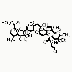 CC[C@@H](C(=O)[C@@H](C)[C@@H](O)[C@H](C)[C@@H]1O[C@@H]([C@@H](CC)C(=O)O)CC[C@@H]1C)[C@H]1O[C@]2(C=CC(NC(=O)OCCCl)[C@]3(CC[C@@](C)([C@H]4CC[C@](O)(CC)[C@H](C)O4)O3)O2)[C@H](C)C[C@@H]1C